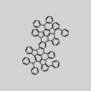 c1ccc(-c2cccc3c4c(N(c5ccccc5)c5ccccc5)c5c6ccccc6n6c5c5c4n(c23)-c2ccccc2B5c2cc3c(cc2-6)-n2c4ccccc4c4c(N(c5ccccc5)c5ccccc5)c5c6cccc(-c7ccccc7)c6n6c5c(c42)B3c2ccccc2-6)cc1